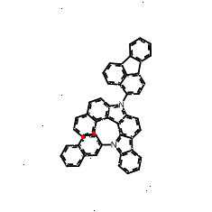 c1ccc2c(c1)-c1cccc3c(-n4c5ccc6ccccc6c5c5c4ccc4c6ccccc6n(-c6ccc7ccccc7c6)c45)ccc-2c13